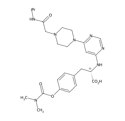 CC(C)NC(=O)CN1CCN(c2cc(N[C@@H](Cc3ccc(OC(=O)N(C)C)cc3)C(=O)O)ncn2)CC1